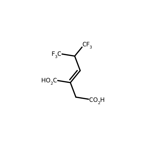 O=C(O)CC(=CC(C(F)(F)F)C(F)(F)F)C(=O)O